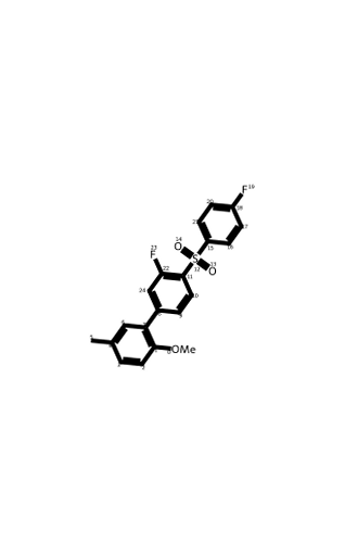 COc1ccc(C)cc1-c1ccc(S(=O)(=O)c2ccc(F)cc2)c(F)c1